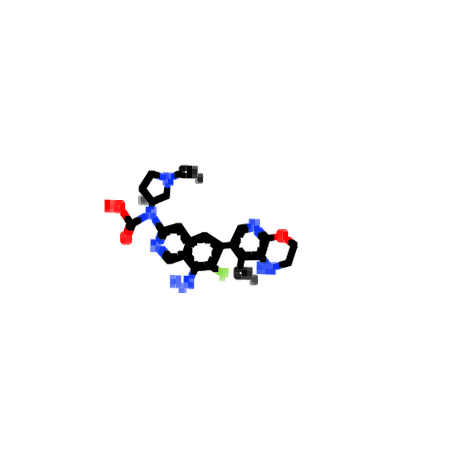 Cc1c(-c2cc3cc(N(C(=O)O)[C@H]4CCN(C)C4)ncc3c(N)c2F)cnc2c1NCCO2